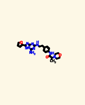 CC(C(=O)Nc1ccc(CCNc2nc(N)n3nc(-c4ccco4)nc3n2)cc1)N1CCOCC1